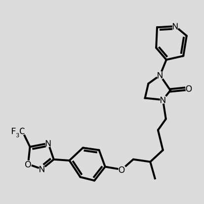 CC(CCCN1CCN(c2ccncc2)C1=O)COc1ccc(-c2noc(C(F)(F)F)n2)cc1